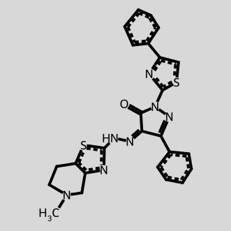 CN1CCc2sc(NN=C3C(=O)N(c4nc(-c5ccccc5)cs4)N=C3c3ccccc3)nc2C1